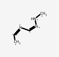 C/C=N\C=N/NC